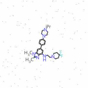 Cc1nc2c(NCCN3CCC(F)(F)CC3)cc(-c3ccc(N4CCN(C(C)C)CC4)cc3)cc2n1C